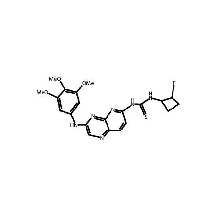 COc1cc(Nc2cnc3ccc(NC(=S)NC4CCC4F)nc3n2)cc(OC)c1OC